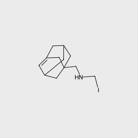 ICNCC12CC3=CC(CC(C3)C1)C2